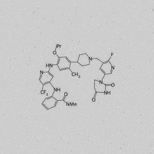 CNC(=O)c1ccccc1Nc1cc(Nc2cc(C)c(C3CCN(Cc4cc(N5CCC(=O)NC5=O)cnc4F)CC3)cc2OC(C)C)ncc1C(F)(F)F